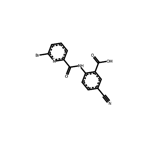 N#Cc1ccc(NC(=O)c2cccc(Br)n2)c(C(=O)O)c1